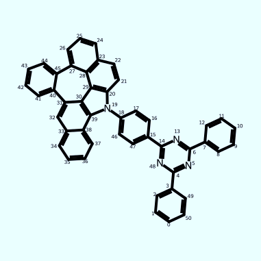 c1ccc(-c2nc(-c3ccccc3)nc(-c3ccc(-n4c5ccc6cccc7c6c5c5c(cc6ccccc6c54)-c4ccccc4-7)cc3)n2)cc1